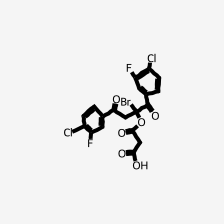 O=C(O)CC(=O)OC(Br)(CC(=O)c1ccc(Cl)c(F)c1)C(=O)c1ccc(Cl)c(F)c1